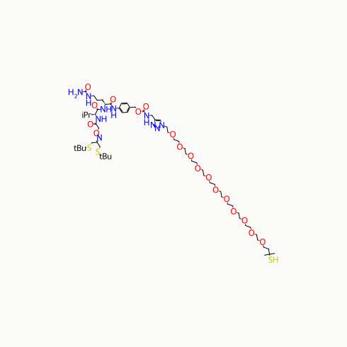 CC(C)[C@H](NC(=O)CON=C(CSC(C)(C)C)CSC(C)(C)C)C(=O)N[C@@H](CCCNC(N)=O)C(=O)Nc1ccc(COC(=O)NCc2cn(CCOCCOCCOCCOCCOCCOCCOCCOCCOCCOCCOCCC(C)(C)S)nn2)cc1